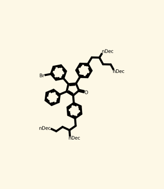 CCCCCCCCCCCCC(CCCCCCCCCC)Cc1ccc(C2=C(c3ccccc3)C(c3cccc(Br)c3)=C(c3ccc(CC(CCCCCCCCCC)CCCCCCCCCCCC)cc3)C2=O)cc1